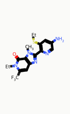 CCSc1cc(N)cnc1-c1nc2cc(C(F)(F)F)n(CC)c(=O)c2n1C